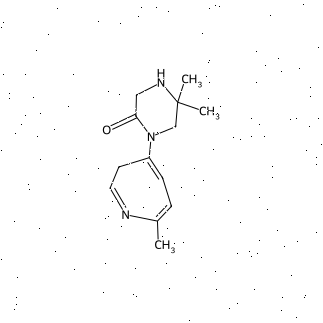 CC1=CC=C(N2CC(C)(C)NCC2=O)CC=N1